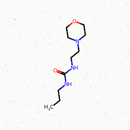 CCCNC(=O)NCCN1CCOCC1